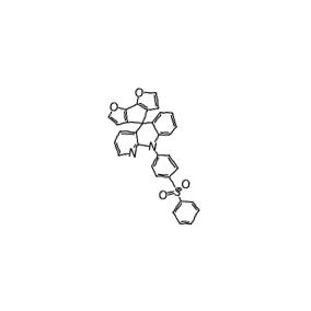 O=S(=O)(c1ccccc1)c1ccc(N2c3ccccc3C3(c4cccnc42)c2ccoc2-c2occc23)cc1